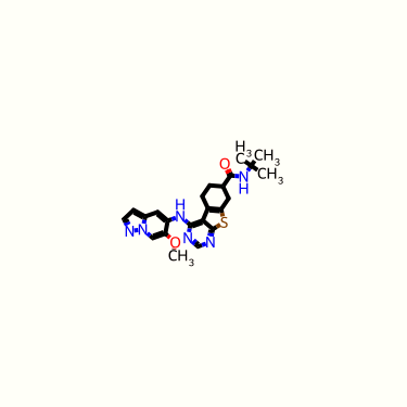 COc1cn2nccc2cc1Nc1ncnc2sc3c(c12)CCC(C(=O)NC(C)(C)C)C3